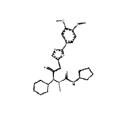 COc1ccc(-c2nc(CC(=O)N(C3CCCCC3)C(C)C(=O)NC3CCCC3)cs2)cc1OC